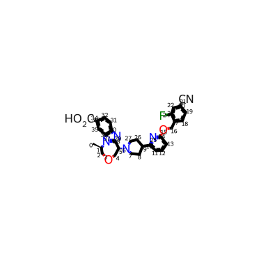 C[C@@H]1COC[C@@H](N2CCC(c3cccc(OCc4ccc(C#N)cc4F)n3)CC2)c2nc3ccc(C(=O)O)cc3n21